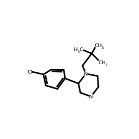 CC(C)(C)CN1CC[N]CC1c1ccc(Cl)cc1